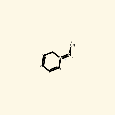 N#C/N=S1/C=CC=CC1